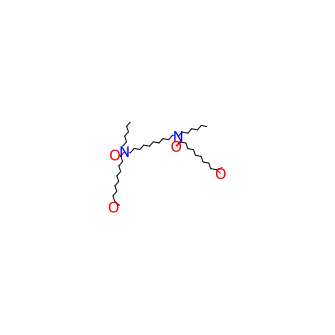 CCCCCCN(CCCCCCCCCCN(CCCCCC)C(=O)CCCCCCCCC1CO1)C(=O)CCCCCCCCC1CO1